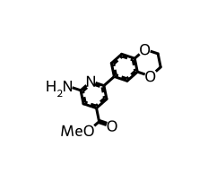 COC(=O)c1cc(N)nc(-c2ccc3c(c2)OCCO3)c1